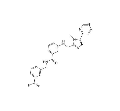 Cn1c(CNc2cccc(C(=O)NCc3cccc(C(F)F)c3)c2)nnc1-c1ccncn1